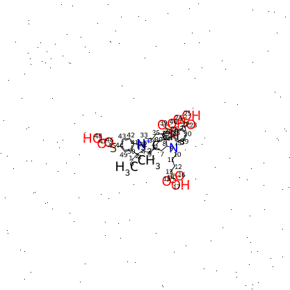 CCC1(C)C(CCCC2N(CCCCS(=O)(=O)O)c3ccc(S(=O)(=O)O)cc3C2(C)CC)=[N+](CCCCS(=O)(=O)O)c2ccc(SOOO)cc21